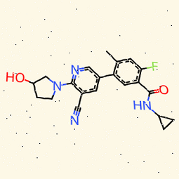 Cc1cc(F)c(C(=O)NC2CC2)cc1-c1cnc(N2CCC(O)C2)c(C#N)c1